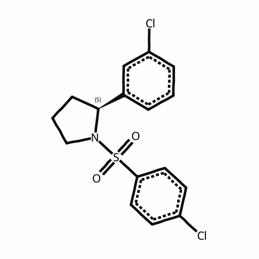 O=S(=O)(c1ccc(Cl)cc1)N1CCC[C@H]1c1cccc(Cl)c1